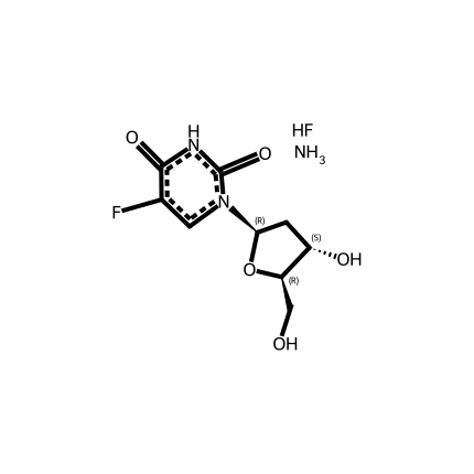 F.N.O=c1[nH]c(=O)n([C@H]2C[C@H](O)[C@@H](CO)O2)cc1F